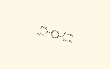 POB(OP)c1ccc(B(OP)OP)cc1